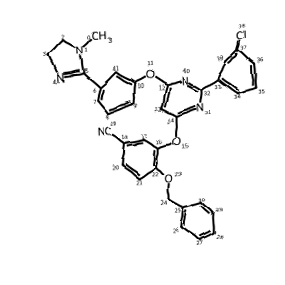 CN1CCN=C1c1cccc(Oc2cc(Oc3cc(C#N)ccc3OCc3ccccc3)nc(-c3cccc(Cl)c3)n2)c1